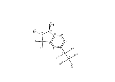 CC1(C)c2cc(C(F)(F)C(F)(F)F)ccc2[C@H](O)[C@H]1Br